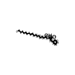 CCCCCC=CCC=CCCCCCCCC(O)C[C@@H]1OC(=O)[C@H]1Cc1ccccc1